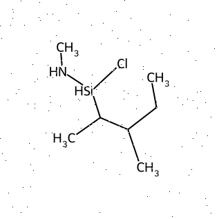 CCC(C)C(C)[SiH](Cl)NC